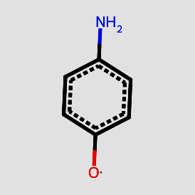 Nc1ccc([O])cc1